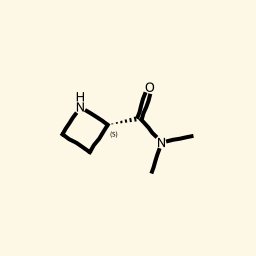 CN(C)C(=O)[C@@H]1CCN1